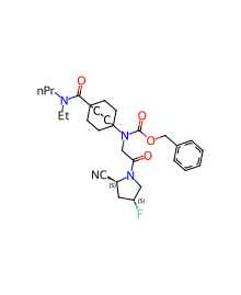 CCCN(CC)C(=O)C12CCC(N(CC(=O)N3C[C@@H](F)C[C@H]3C#N)C(=O)OCc3ccccc3)(CC1)CC2